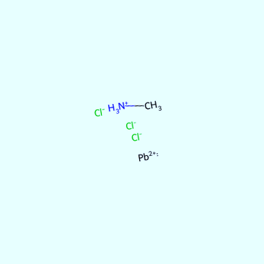 C[NH3+].[Cl-].[Cl-].[Cl-].[Pb+2]